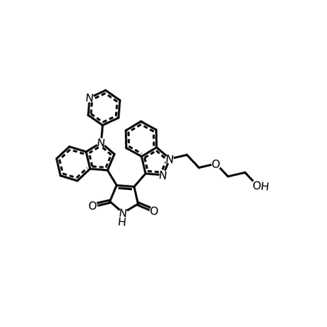 O=C1NC(=O)C(c2nn(CCOCCO)c3ccccc23)=C1c1cn(-c2cccnc2)c2ccccc12